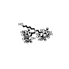 O=P(O)(O)C(N(CCCN(CCCCCCO)CCCN(C(P(=O)(O)O)P(=O)(O)O)C(P(=O)(O)O)P(=O)(O)O)C(P(=O)(O)O)P(=O)(O)O)P(=O)(O)O